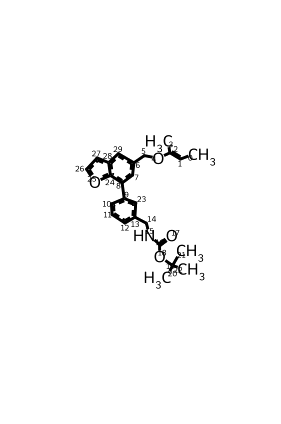 C/C=C(\C)OCc1cc(-c2cccc(CNC(=O)OC(C)(C)C)c2)c2occc2c1